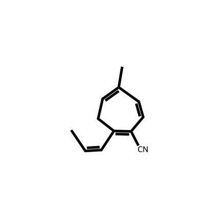 C/C=C\C1=C(C#N)C=CC(C)=CC1